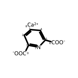 O=C([O-])c1cccc(C(=O)[O-])n1.[Ca+2]